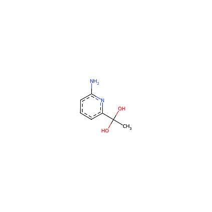 CC(O)(O)c1cccc(N)n1